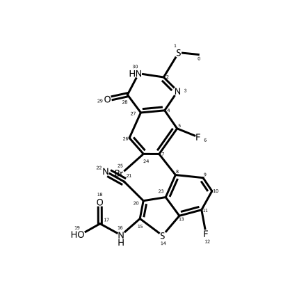 CSc1nc2c(F)c(-c3ccc(F)c4sc(NC(=O)O)c(C#N)c34)c(Br)cc2c(=O)[nH]1